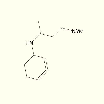 CNCCC(C)NC1C=C=CCC1